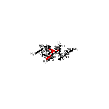 CC(C)[C@H](NC(=O)[C@H](CCCNC(=N)N)NC(=O)[C@H](CCCN)NC(=O)[C@H](CC(N)=O)NC(=O)[C@H](CC(N)=O)NC(=O)[C@H](CCC(N)=O)NC(=O)[C@H](CCCNC(=N)N)NC(=O)[C@@H](NC(=O)[C@H](CS)NC(=O)[C@@H](N)CCCCN)C(C)C)C(=O)N[C@@H](CS)C(=O)N[C@@H](CCCCN)C(=O)O